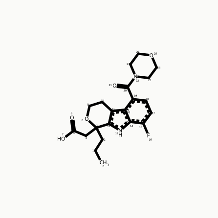 CCCC1(CC(=O)O)OCCc2c1[nH]c1c(F)ccc(C(=O)N3CCOCC3)c21